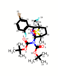 CC(C)(C)OC(=O)N(C(=O)OC(C)(C)C)C1=N[C@@](CF)(c2cc(Br)ccc2F)[C@@H]2CC[C@@]1(C)S2(=O)=O